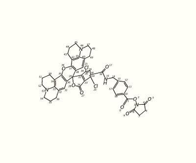 O=C(ON1C(=O)CCC1=O)c1ccc(CNC(=O)c2cc(Cl)c3c(c2Cl)C(=O)OC32c3cc4c5c(c3Oc3c2cc2c6c3CCCN6CCC2)CCCN5CCC4)cc1